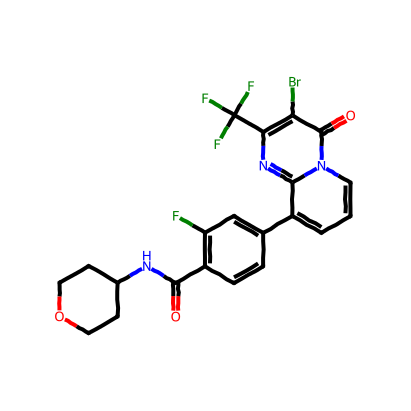 O=C(NC1CCOCC1)c1ccc(-c2cccn3c(=O)c(Br)c(C(F)(F)F)nc23)cc1F